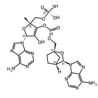 C[C@]1(CO[P@](=O)(O)S)O[C@@H](n2cnc3c(N)ncnc32)C(O)=C1O[PH](=O)OC[C@]12CC[C@H](C1)[C@H](n1cnc3c(N)ncnc31)O2